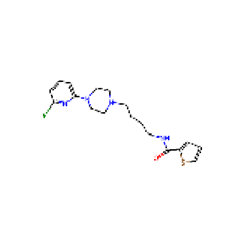 O=C(NCCCCN1CCN(c2cccc(F)n2)CC1)c1cccs1